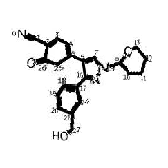 N#CC1=CC=C(c2cn(C3CCCCO3)nc2-c2cccc(CO)c2)CC1=O